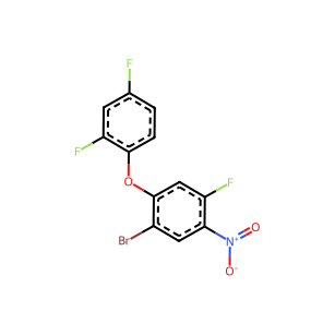 O=[N+]([O-])c1cc(Br)c(Oc2ccc(F)cc2F)cc1F